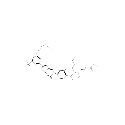 C[C@H](N)CCCc1cc(-c2cc3cn(-c4ccc([C@@H]5CCC[C@@H](CCNC(=N)CN)N5CCCF)c(F)c4)c(=O)nc3[nH]2)cc(C(F)(F)F)c1